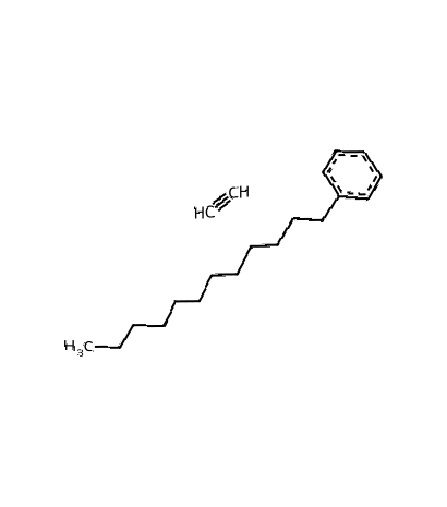 C#C.CCCCCCCCCCCCc1ccccc1